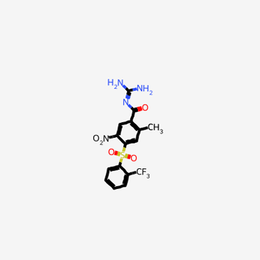 Cc1cc(S(=O)(=O)c2ccccc2C(F)(F)F)c([N+](=O)[O-])cc1C(=O)N=C(N)N